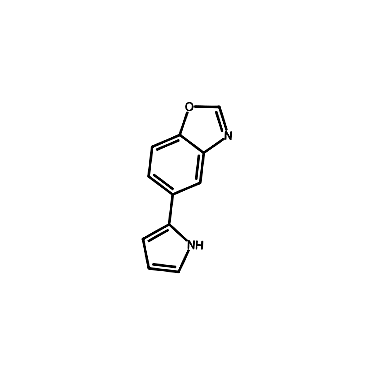 c1c[nH]c(-c2ccc3ocnc3c2)c1